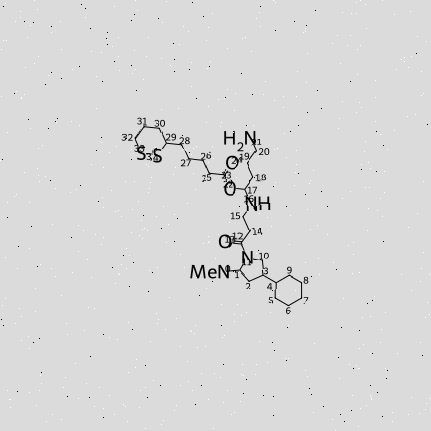 CNC1CC(C2CCCCC2)CN1C(=O)CCNC(CCCN)OC(=O)CCCCC1CCCSS1